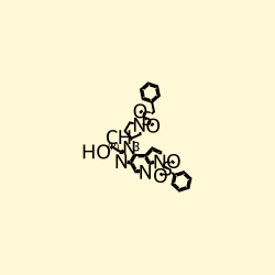 C[C@@H](O)c1nc2cnc3c(ccn3S(=O)(=O)c3ccccc3)c2n1C1CCN(S(=O)(=O)Cc2ccccc2)C1